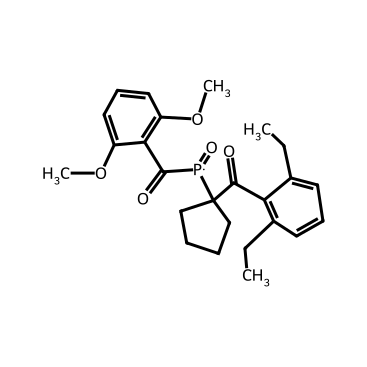 CCc1cccc(CC)c1C(=O)C1([P](=O)C(=O)c2c(OC)cccc2OC)CCCC1